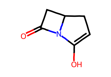 O=C1CC2CC=C(O)N12